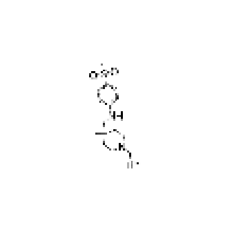 C[C](C)CN1CCC(C)(CNc2ccc(S(C)(=O)=O)cc2)CC1